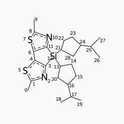 Cc1nc2c(s1)-c1sc(C)nc1[Si]2(C1CCC(C(C)C)C1)C1CCC(C(C)C)C1